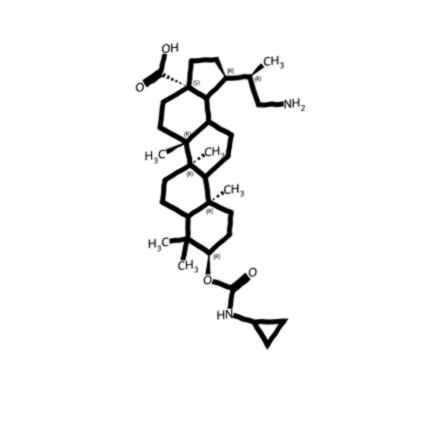 C[C@@H](CN)[C@@H]1CC[C@]2(C(=O)O)CC[C@]3(C)C(CCC4[C@@]5(C)CC[C@@H](OC(=O)NC6CC6)C(C)(C)C5CC[C@]43C)C12